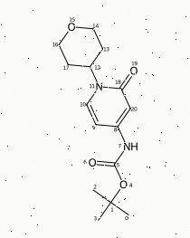 CC(C)(C)OC(=O)Nc1ccn(C2CCOCC2)c(=O)c1